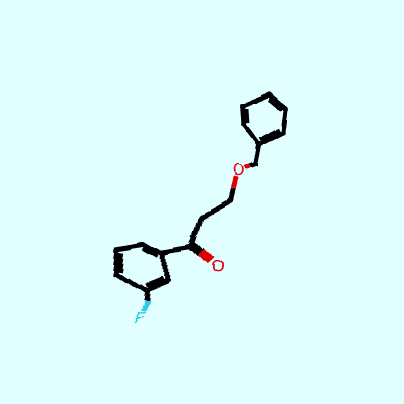 O=C(CCOCc1ccccc1)c1cccc(F)c1